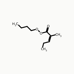 CCC=C(C)C(=O)OOCCCC